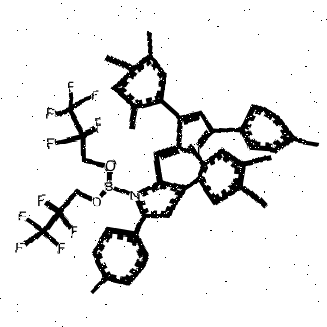 Cc1ccc(C2=N/C(=C\c3c(-c4cc(C)c(C)cc4C)cc(-c4ccc(C)cc4)n3B(OCC(F)(F)C(F)(F)F)OCC(F)(F)C(F)(F)F)C(c3cc(C)c(C)cc3C)=C2)cc1